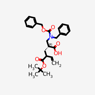 C=CC(C[C@H](CN(Cc1ccccc1)C(=O)OCc1ccccc1)C(=O)O)C(=O)OC(C)(C)C